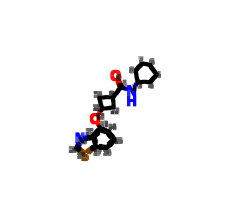 O=C(NC1CCCCC1)C1CC(Oc2cccc3scnc23)C1